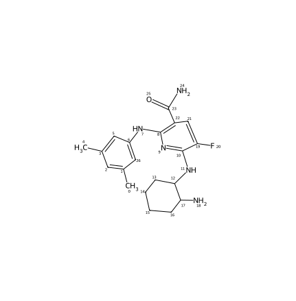 Cc1cc(C)cc(Nc2nc(NC3CCCCC3N)c(F)cc2C(N)=O)c1